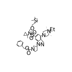 CCN1[C@H](C)CN(c2cc(S(=O)(=O)N(COCC[Si](C)(C)C)C3(C)CC3)cc3c2cnn3C2CCN(C(=O)OCc3ccccc3)C2)C[C@@H]1C